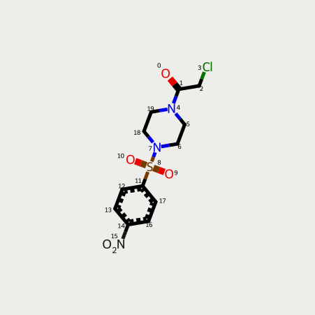 O=C(CCl)N1CCN(S(=O)(=O)c2ccc([N+](=O)[O-])cc2)CC1